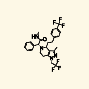 CNC(=O)[C@@H](c1ccccc1)N1CCc2c(c(C)nn2CC(F)(F)F)C1CCc1ccc(C(F)(F)F)cc1